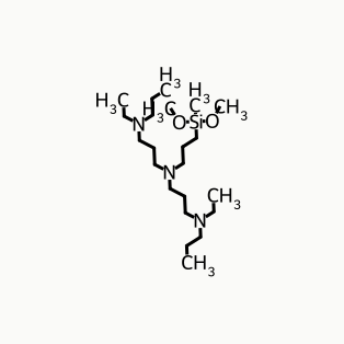 CCCN(CC)CCCN(CCCN(CC)CCC)CCC[Si](C)(OC)OC